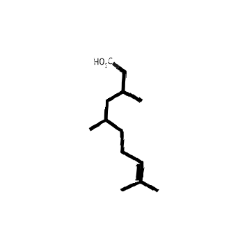 CC(C)=CCCC(C)CC(C)CC(=O)O